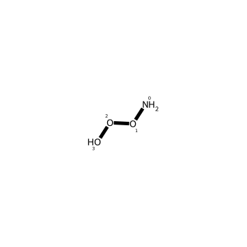 NOOO